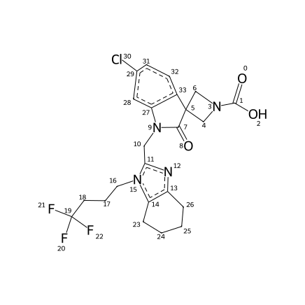 O=C(O)N1CC2(C1)C(=O)N(Cc1nc3c(n1CCCC(F)(F)F)CCCC3)c1cc(Cl)ccc12